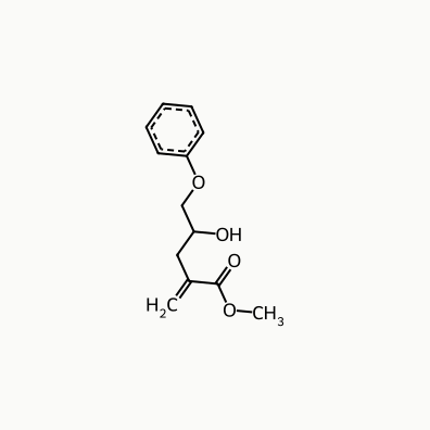 C=C(CC(O)COc1ccccc1)C(=O)OC